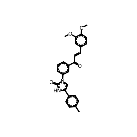 COc1ccc(C=CC(=O)c2cccc(-n3cc(-c4ccc(C)cc4)[nH]c3=O)c2)cc1OC